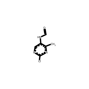 Cc1nc(Cl)ncc1NC=O